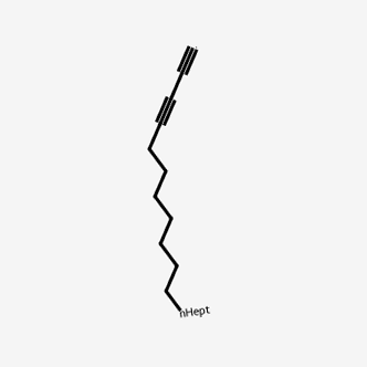 [C]#CC#CCCCCCCCCCCCCCC